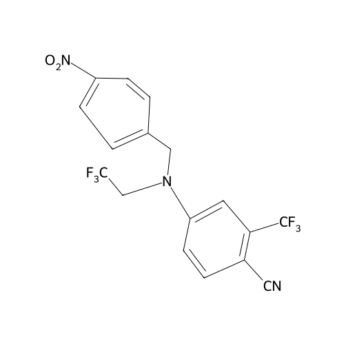 N#Cc1ccc(N(Cc2ccc([N+](=O)[O-])cc2)CC(F)(F)F)cc1C(F)(F)F